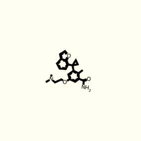 Cc1c(C(N)=O)cc(OCCN(C)C)cc1C1(c2cccc3ccoc23)CC1